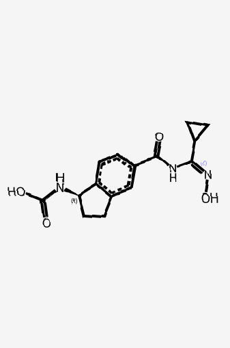 O=C(O)N[C@@H]1CCc2cc(C(=O)N/C(=N\O)C3CC3)ccc21